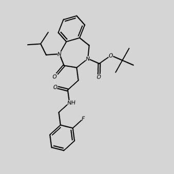 CC(C)CN1C(=O)C(CC(=O)NCc2ccccc2F)N(C(=O)OC(C)(C)C)Cc2ccccc21